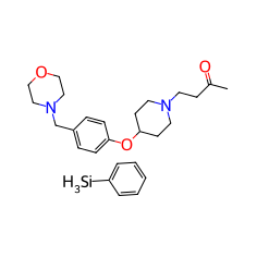 CC(=O)CCN1CCC(Oc2ccc(CN3CCOCC3)cc2)CC1.[SiH3]c1ccccc1